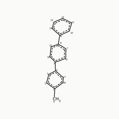 Cc1ccc(-c2[c]cc(-c3ccccc3)cc2)cc1